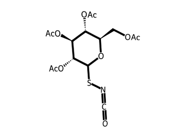 CC(=O)OC[C@H]1OC(SN=C=O)[C@H](OC(C)=O)[C@@H](OC(C)=O)[C@@H]1OC(C)=O